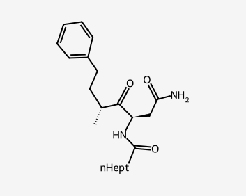 CCCCCCCC(=O)N[C@H](CC(N)=O)C(=O)[C@H](C)CCc1ccccc1